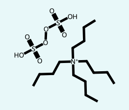 CCCC[N+](CCCC)(CCCC)CCCC.O=S(=O)(O)OOS(=O)(=O)O